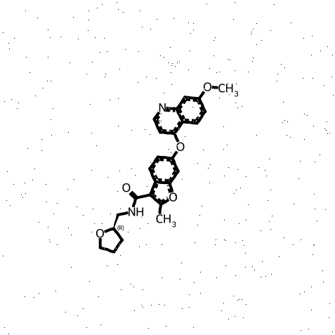 COc1ccc2c(Oc3ccc4c(C(=O)NC[C@H]5CCCO5)c(C)oc4c3)ccnc2c1